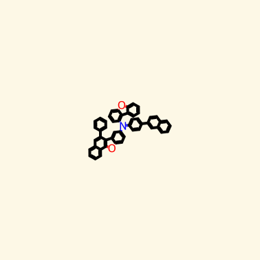 c1ccc(-c2cc3ccccc3c3oc4ccc(N(c5ccc(-c6ccc7ccccc7c6)cc5)c5cccc6oc7ccccc7c56)cc4c23)cc1